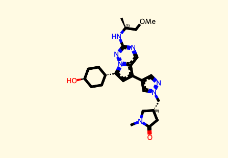 COC[C@H](C)Nc1ncc2c(-c3cnn(C[C@@H]4CC(=O)N(C)C4)c3)cc([C@H]3CC[C@H](O)CC3)n2n1